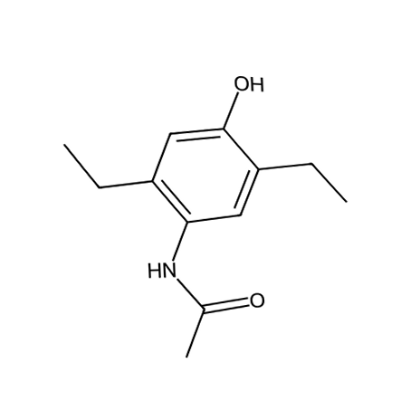 CCc1cc(NC(C)=O)c(CC)cc1O